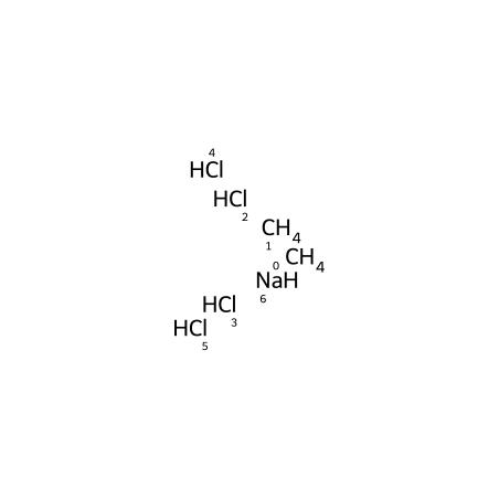 C.C.Cl.Cl.Cl.Cl.[NaH]